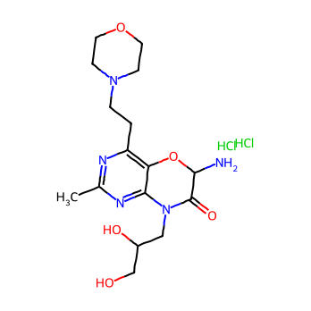 Cc1nc(CCN2CCOCC2)c2c(n1)N(CC(O)CO)C(=O)C(N)O2.Cl.Cl